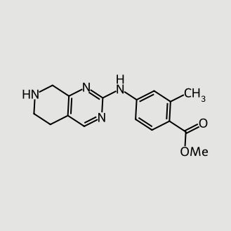 COC(=O)c1ccc(Nc2ncc3c(n2)CNCC3)cc1C